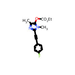 CCOC(=O)Oc1c(C)nc(C#Cc2ccc(F)cc2)n1C